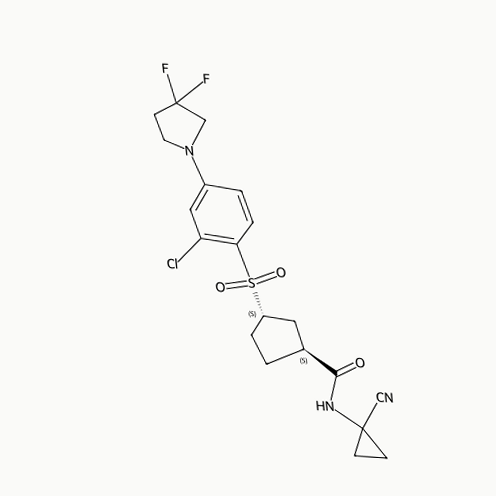 N#CC1(NC(=O)[C@H]2CC[C@H](S(=O)(=O)c3ccc(N4CCC(F)(F)C4)cc3Cl)C2)CC1